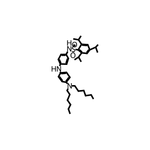 CCCCCCN(CCCCCC)c1ccc(Nc2ccc(NS(=O)(=O)c3c(C(C)C)cc(C(C)C)cc3C(C)C)cc2)cc1